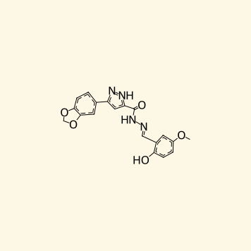 COc1ccc(O)c(C=NNC(=O)c2cc(-c3ccc4c(c3)OCO4)n[nH]2)c1